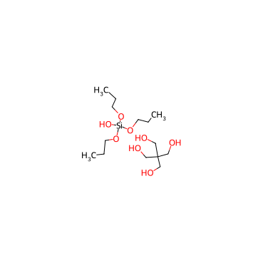 CCCO[Si](O)(OCCC)OCCC.OCC(CO)(CO)CO